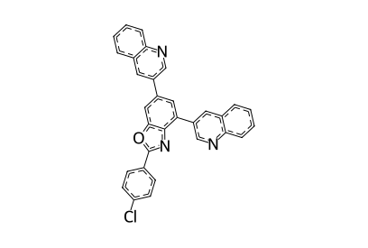 Clc1ccc(-c2nc3c(-c4cnc5ccccc5c4)cc(-c4cnc5ccccc5c4)cc3o2)cc1